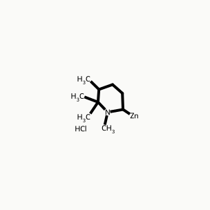 CC1CC[CH]([Zn])N(C)C1(C)C.Cl